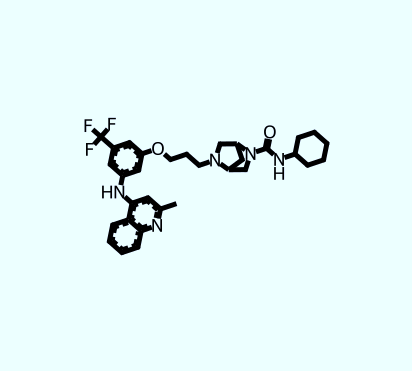 Cc1cc(Nc2cc(OCCCN3CC4CC3CN4C(=O)NC3CCCCC3)cc(C(F)(F)F)c2)c2ccccc2n1